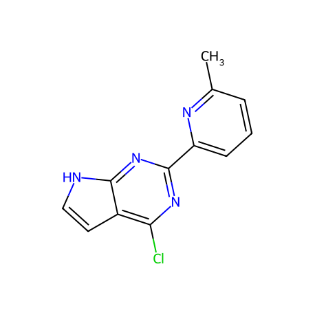 Cc1cccc(-c2nc(Cl)c3cc[nH]c3n2)n1